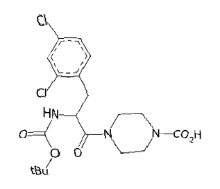 CC(C)(C)OC(=O)NC(Cc1ccc(Cl)cc1Cl)C(=O)N1CCN(C(=O)O)CC1